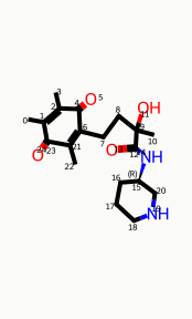 CC1=C(C)C(=O)C(CCC(C)(O)C(=O)N[C@@H]2CCCNC2)=C(C)C1=O